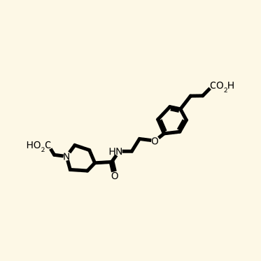 O=C(O)CCc1ccc(OCCNC(=O)C2CCN(CC(=O)O)CC2)cc1